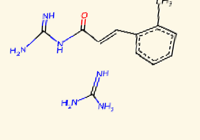 Cc1ccccc1C=CC(=O)NC(=N)N.N=C(N)N